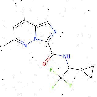 Cc1cc(C)c2cnc(C(=O)NC(C3CC3)C(F)(F)F)n2n1